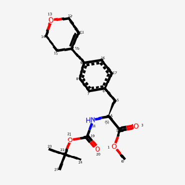 COC(=O)[C@H](Cc1ccc(C2=CCOCC2)cc1)NC(=O)OC(C)(C)C